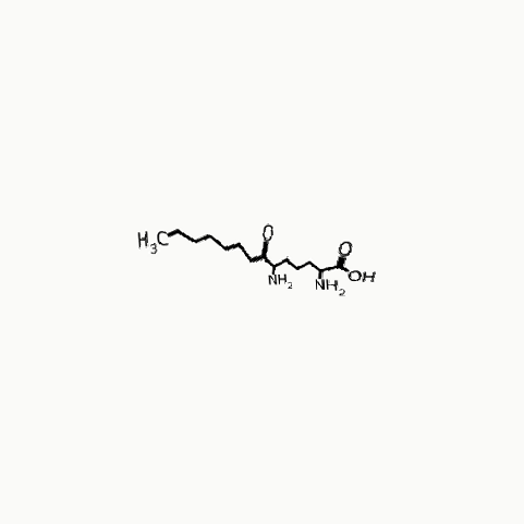 CCCCCCCC(=O)C(N)CCCC(N)C(=O)O